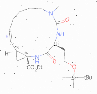 CCOC(=O)[C@@]12C[C@H]1/C=C\CCCCN(C)C(=O)N[C@@H](CCO[Si](C)(C)C(C)(C)C)C(=O)N2